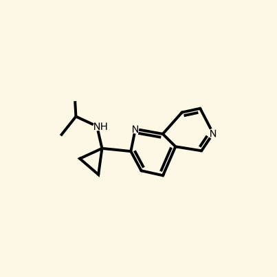 CC(C)NC1(c2ccc3cnccc3n2)CC1